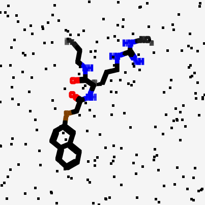 CC(C)CCNC(=O)[C@H](CCCNC(=N)N[N+](=O)[O-])NC(=O)CSc1ccc2ccccc2c1